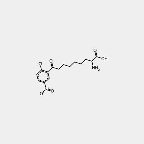 NC(CCCCCCC(=O)c1cc([N+](=O)[O-])ccc1Cl)C(=O)O